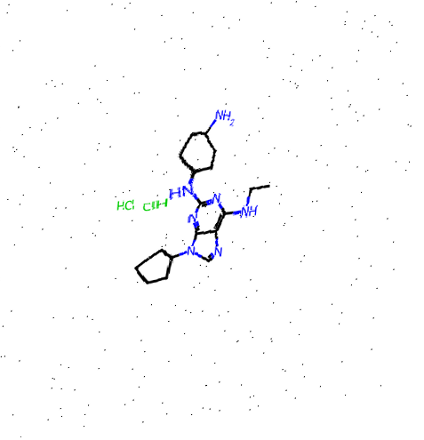 CCNc1nc(NC2CCC(N)CC2)nc2c1ncn2C1CCCC1.Cl.Cl